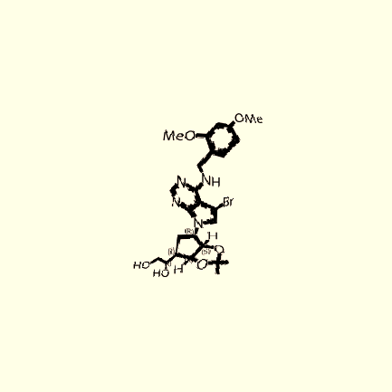 COc1ccc(CNc2ncnc3c2c(Br)cn3[C@@H]2C[C@H]([C@@H](O)CO)[C@H]3OC(C)(C)O[C@H]32)c(OC)c1